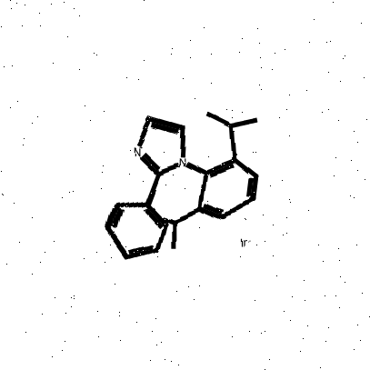 CC(C)c1cccc(C(C)C)c1-n1ccnc1-c1ccccc1.[Ir]